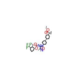 CCOC(=O)C1(c2ccc(-c3ccc(-c4onc(C)c4NC(=O)OC(C)c4ccccc4C(F)(F)F)cc3)cc2)CC1